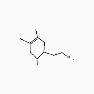 CC1=C(C)CC(CCN)C(C)C1